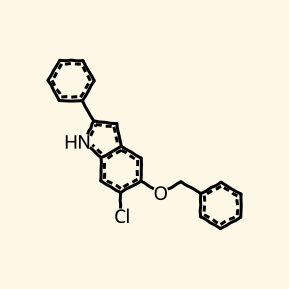 Clc1cc2[nH]c(-c3ccccc3)cc2cc1OCc1ccccc1